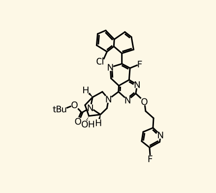 CC(C)(C)OC(=O)N1[C@@H]2C[C@@H](O)[C@H]1CN(c1nc(OCCc3ccc(F)cn3)nc3c(F)c(-c4cccc5cccc(Cl)c45)ncc13)C2